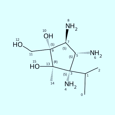 CC(C)[C@]1(N)[C@@H](N)[C@H](N)[C@](O)(CO)[C@]1(C)O